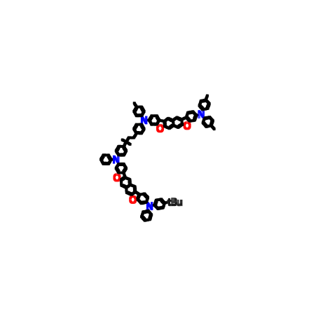 Cc1ccc(N(c2ccc(C)cc2)c2ccc3c(c2)oc2cc4cc5oc6cc(N(c7ccc(C)cc7)c7ccc(CCC(C)(C)c8ccc(N(c9ccccc9)c9ccc%10c(c9)oc9cc%11cc%12oc%13cc(N(c%14ccccc%14)c%14ccc(C(C)(C)C)cc%14)ccc%13c%12cc%11cc9%10)cc8)cc7)ccc6c5cc4cc23)cc1